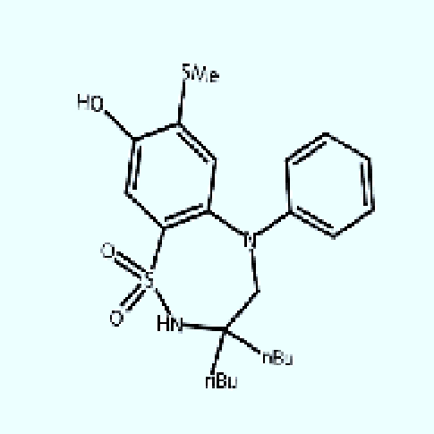 CCCCC1(CCCC)CN(c2ccccc2)c2cc(SC)c(O)cc2S(=O)(=O)N1